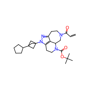 C=CC(=O)N1CCc2nn(C34CC(C5CCCC5)(C3)C4)c3c2C(C1)N(C(=O)OC(C)(C)C)CC3